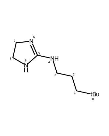 CC(C)(C)CCCNC1=NCCN1